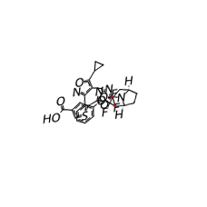 O=C(O)c1csc(-c2nnc(N3[C@@H]4CC[C@H]3C[C@@H](OCc3c(-c5ccccc5OC(F)(F)F)noc3C3CC3)C4)o2)c1